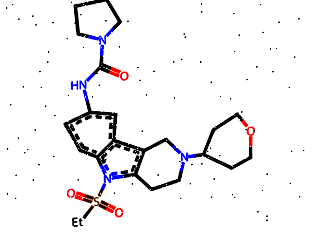 CCS(=O)(=O)n1c2c(c3cc(NC(=O)N4CCCC4)ccc31)CN(C1CCOCC1)CC2